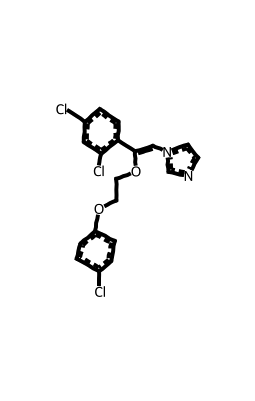 Clc1ccc(OCCO/C(=C\n2ccnc2)c2ccc(Cl)cc2Cl)cc1